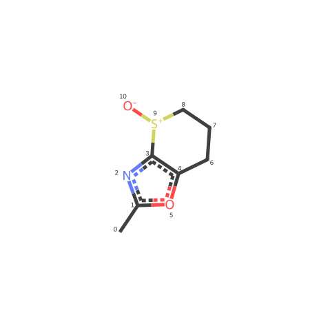 Cc1nc2c(o1)CCC[S+]2[O-]